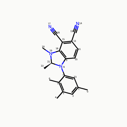 Cc1cc(C)c(C)c(N2c3ccc(C#N)c(C#N)c3N(C)[C@@H]2C)c1